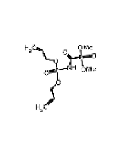 C=CCOP(=O)(NC(=O)P(=O)(OC)OC)OCC=C